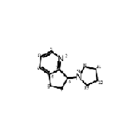 c1cnc2c(c1)CCC2N1CCCC1